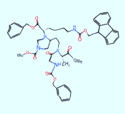 COC(=O)[C@H](C)N(CCC1CN(C(=O)OC(C)(C)C)CN1[C@@H](CCCCNC(=O)OCC1c2ccccc2-c2ccccc21)C(=O)OCc1ccccc1)C(=O)CNC(=O)OCc1ccccc1